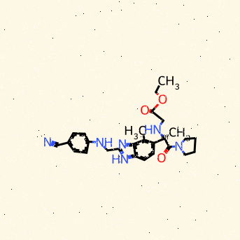 CCOC(=O)CN[C@@](C)(C(=O)N1CCCC1)c1ccc2[nH]c(CNc3ccc(C#N)cc3)nc2c1C